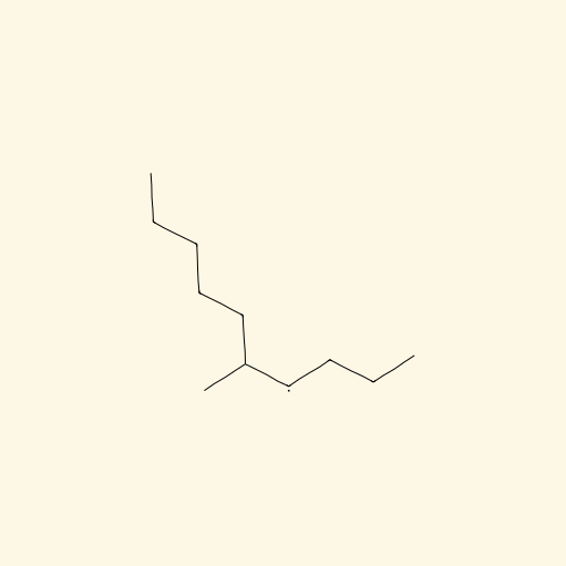 CCC[CH]C(C)CCCCC